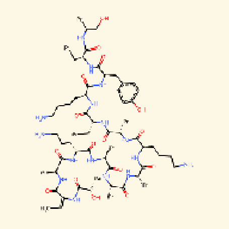 C/C=C(/NC(=O)[C@@H](O)[C@@H](C)CC)C(=O)N[C@H](C(=O)N[C@H](CCCN)C(=O)N[C@H](C(=O)N[C@H](C(=O)N[C@H](C(=O)N[C@H](CCCCN)C(=O)N[C@H](C(=O)N[C@H](CC(C)C)C(=O)N[C@@H](CCCCN)C(=O)N[C@H](Cc1ccc(O)cc1)C(=O)N[C@@H](CC(C)C)C(=O)N[C@H](CO)C(C)C)C(C)C)C(C)C)C(C)C)C(C)C)C(C)C